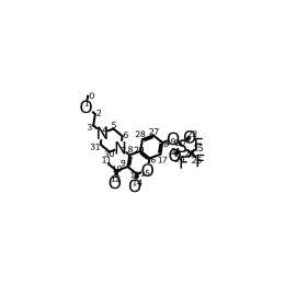 COCCN1CCN(c2c(C(C)=O)c(=O)oc3cc(OS(=O)(=O)C(F)(F)F)ccc23)CC1